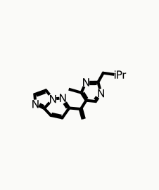 C=C(c1ccc2nccn2n1)c1cnc(CC(C)C)nc1C